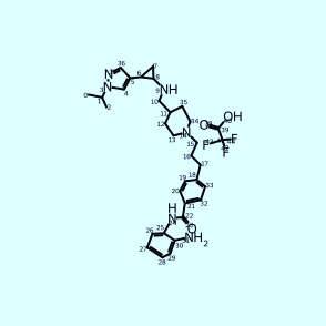 CC(C)n1cc(C2CC2NCC2CCN(CCCc3ccc(C(=O)Nc4ccccc4N)cc3)CC2)cn1.O=C(O)C(F)(F)F